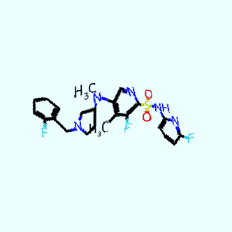 Cc1c(N(C)[C@H]2CCN(Cc3ccccc3F)C2)cnc(S(=O)(=O)Nc2cccc(F)n2)c1F